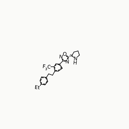 CCc1ccc(CCc2ccc(-c3noc([C@@H]4CCCN4)n3)cc2C(F)(F)F)cc1